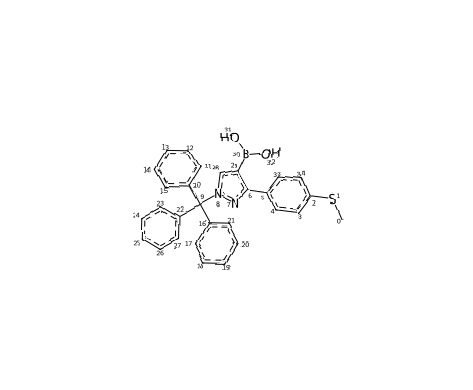 CSc1ccc(-c2nn(C(c3ccccc3)(c3ccccc3)c3ccccc3)cc2B(O)O)cc1